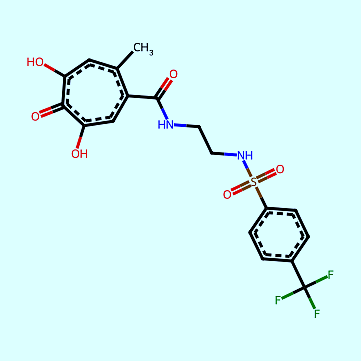 Cc1cc(O)c(=O)c(O)cc1C(=O)NCCNS(=O)(=O)c1ccc(C(F)(F)F)cc1